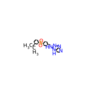 CC(C)c1cccc(S(=O)(=O)c2ccc(CNC(=NC#N)Nc3ccncc3)cc2)c1